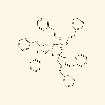 C(=Cc1ccccc1)OP1(OC=Cc2ccccc2)=NP(OC=Cc2ccccc2)(OC=Cc2ccccc2)=NP(OC=Cc2ccccc2)(OC=Cc2ccccc2)=N1